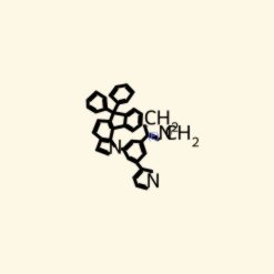 C=C/C(=C\N=C)c1cc(-c2cccnc2)cc(-n2ccc3ccc4c(c32)-c2ccccc2C4(c2ccccc2)c2ccccc2)c1